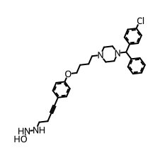 ONNCCC#Cc1ccc(OCCCCN2CCN(C(c3ccccc3)c3ccc(Cl)cc3)CC2)cc1